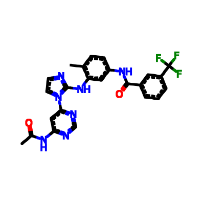 CC(=O)Nc1cc(-n2ccnc2Nc2cc(NC(=O)c3cccc(C(F)(F)F)c3)ccc2C)ncn1